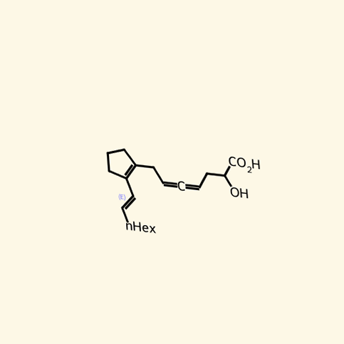 CCCCCC/C=C/C1=C(CC=C=CCC(O)C(=O)O)CCC1